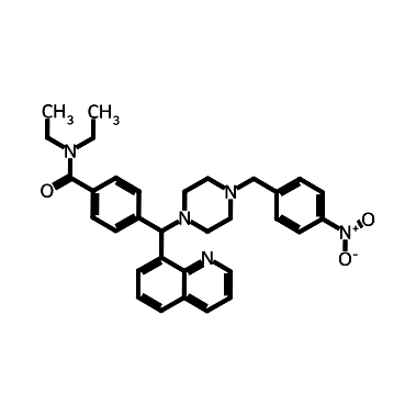 CCN(CC)C(=O)c1ccc(C(c2cccc3cccnc23)N2CCN(Cc3ccc([N+](=O)[O-])cc3)CC2)cc1